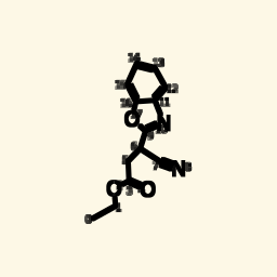 CCOC(=O)CC(C#N)c1nc2ccccc2o1